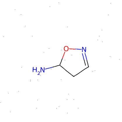 NC1CC=NO1